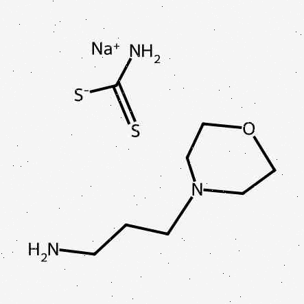 NC(=S)[S-].NCCCN1CCOCC1.[Na+]